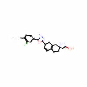 COc1ccc(-c2nnc(-c3ccc4c(c3)C[C@](N)(CCO)CC4)o2)cc1F